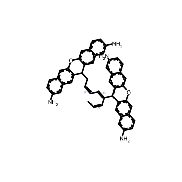 C\C=C/C(=C\C=C/CC1c2cc3cc(N)ccc3cc2Oc2cc3ccc(N)cc3cc21)C1c2cc3cc(N)ccc3cc2Oc2cc3ccc(N)cc3cc21